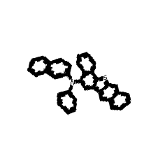 c1ccc(N(c2ccc3ccccc3c2)c2cc3c4cc5ccccc5cc4sc3c3ccccc23)cc1